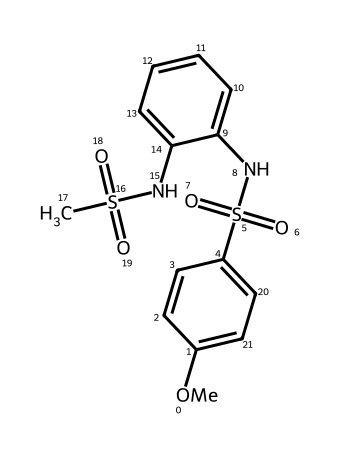 COc1ccc(S(=O)(=O)Nc2ccccc2NS(C)(=O)=O)cc1